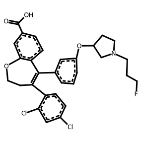 O=C(O)c1ccc2c(c1)OCCC(c1ccc(Cl)cc1Cl)=C2c1cccc(OC2CCN(CCCF)C2)c1